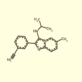 C#Cc1cccc(-c2nc3ccc(C)cn3c2NC(C)C)c1